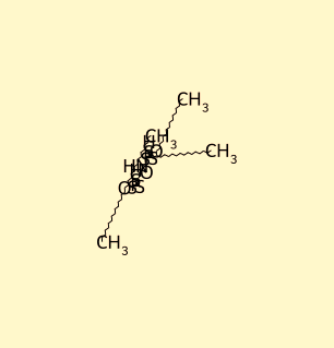 CCCCCCCCCCCCCCCOC(CCCCCCCCCCCCCC)S[PH](=S)SCCC(=O)NCS[PH](=S)SC(CCCCCCCCCCCCCC)OCCCCCCCCCCCCCCC